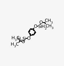 CC(C)O[SiH2]Oc1ccc(O[SiH2]OC(C)C)cc1